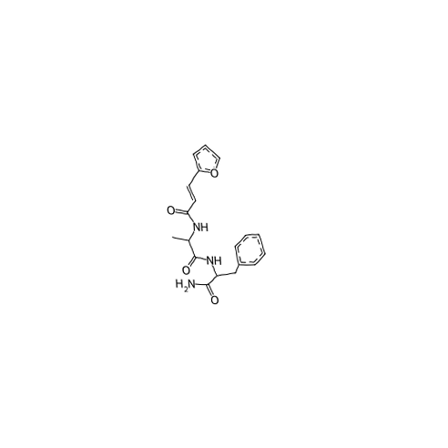 CC(NC(=O)/C=C/c1ccco1)C(=O)NC(Cc1ccccc1)C(N)=O